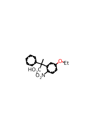 CCOc1ccc([N+](=O)[O-])c(C(C)(C(=O)O)c2ccccc2)c1